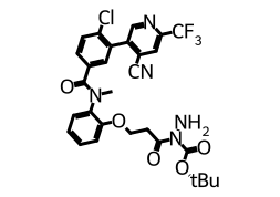 CN(C(=O)c1ccc(Cl)c(-c2cnc(C(F)(F)F)cc2C#N)c1)c1ccccc1OCCC(=O)N(N)C(=O)OC(C)(C)C